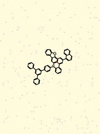 c1ccc(-c2cc(-c3ccccc3)cc(-c3ccc(N(c4ccc5oc6ccccc6c5c4)c4ccccc4-c4cccc(-c5cccc6ccccc56)c4)cc3)c2)cc1